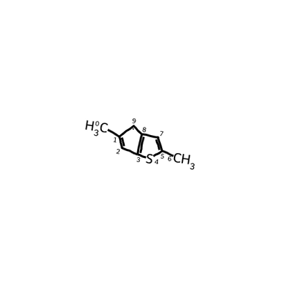 CC1=Cc2sc(C)cc2[CH]1